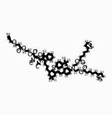 [C-]#[N+]C1=C(/C=C/C=C/C2CC(C)(C)CC(/C=C/c3ccc(N(CCOC(=O)CCCCC4CCSS4)CCOC(=O)CCCCC4CCSS4)cc3)=C2Sc2ccc(C(C)(C)C)cc2)C(C)(c2ccccc2)O/C1=C(/[N+]#[C-])C(=O)OCCOC(=O)CCOCC#C